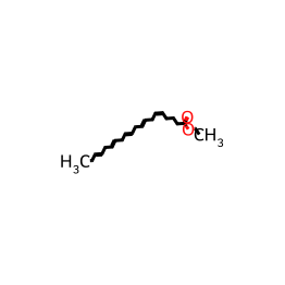 CCC=CCC=CCC=CCC=CC/C=C\CCCC(=O)OCC